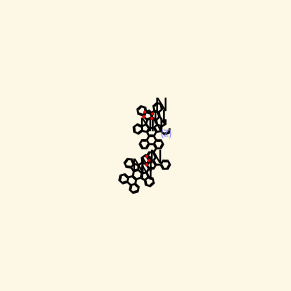 C=Cc1c(/C=C\C)c2c3c4cccc(-c5ccc6nc(-n7c8ccccc8c8c9c%10ccccc%10c%10ccccc%10c9c9c%10ccccc%10n(-c%10ccccc%10)c9c87)cc(-c7ccccc7)c6n5)c4c4ccccc4c3c3c4ccccc4n(-c4ccccc4)c3c2n1-c1cc(-c2ccccc2)c2ccncc2n1